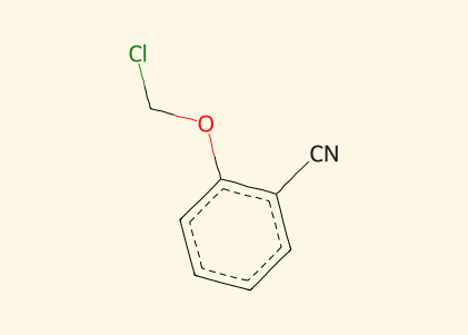 N#Cc1ccccc1OCCl